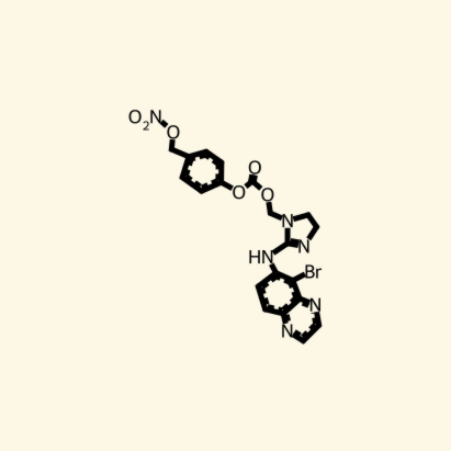 O=C(OCN1CCN=C1Nc1ccc2nccnc2c1Br)Oc1ccc(CO[N+](=O)[O-])cc1